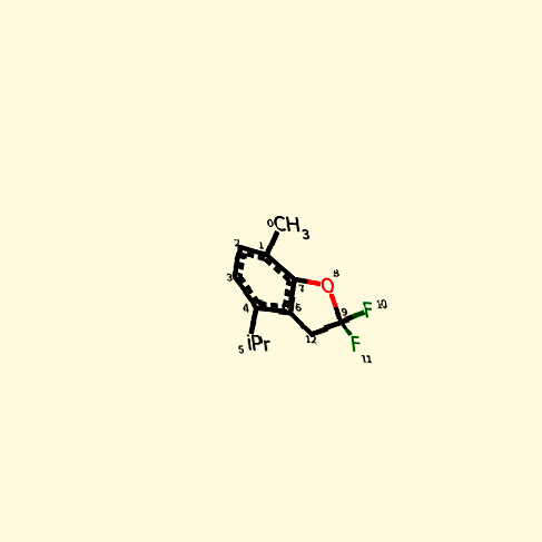 Cc1ccc(C(C)C)c2c1OC(F)(F)C2